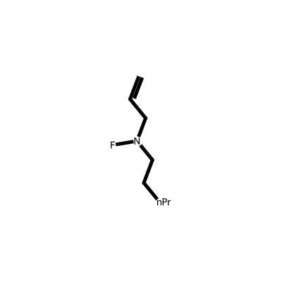 C=CCN(F)CCCCC